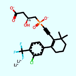 CC1(C)CCCC(c2ccc(C(F)(F)F)c(Cl)c2)=C1C#CP(=O)([O-])C[C@@H](O)CC(=O)[O-].[Li+].[Li+]